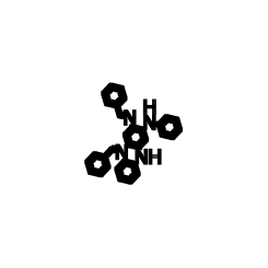 C(=Nc1cc(N=Cc2ccccc2)c(Nc2ccccc2)cc1Nc1ccccc1)c1ccccc1